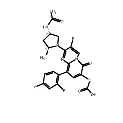 CC(=O)N[C@H]1C[C@H](C)N(c2nc3c(-c4ccc(F)cc4F)cc(OC(=O)O)c(=O)n3cc2F)C1